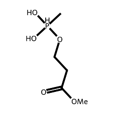 COC(=O)CCO[PH](C)(O)O